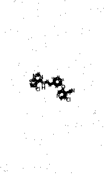 N#Cc1c(Cl)cncc1Oc1cccc(CCNc2ncnc3scc(Cl)c23)c1